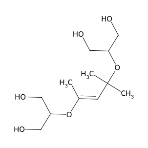 C/C(=C\C(C)(C)OC(CO)CO)OC(CO)CO